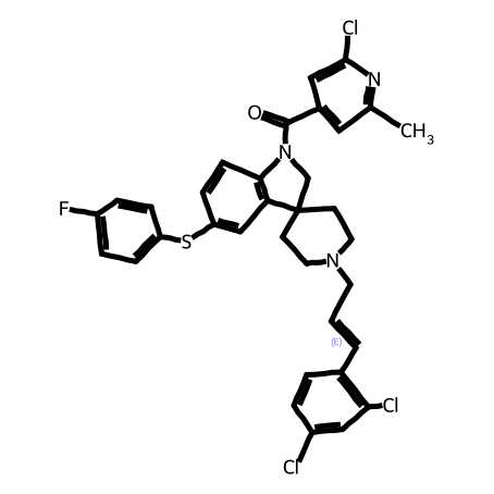 Cc1cc(C(=O)N2CC3(CCN(C/C=C/c4ccc(Cl)cc4Cl)CC3)c3cc(Sc4ccc(F)cc4)ccc32)cc(Cl)n1